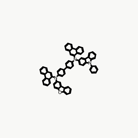 c1ccc(-n2c3ccccc3c3cc(N(c4ccc(-c5ccc(N(c6ccc7oc8ccccc8c7c6)c6cc7ccccc7c7ccccc67)cc5)cc4)c4cc5ccccc5c5ccccc45)ccc32)cc1